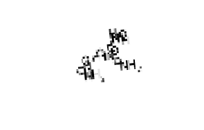 Nc1ccc(NC(=O)C(CCCN2C[C@@H]3C[C@H]2CO3)c2ccc(/C=C/C(=O)Nc3ccccc3N)cc2)cc1